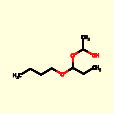 CCCCOC(CC)OC(C)O